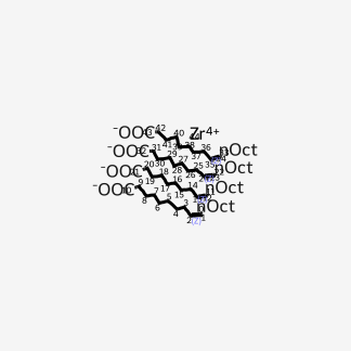 CCCCCCCC/C=C\CCCCCCCC(=O)[O-].CCCCCCCC/C=C\CCCCCCCC(=O)[O-].CCCCCCCC/C=C\CCCCCCCC(=O)[O-].CCCCCCCC/C=C\CCCCCCCC(=O)[O-].[Zr+4]